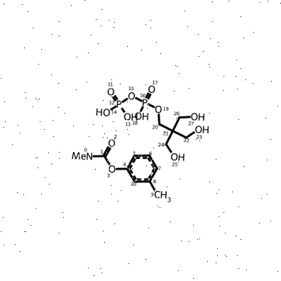 CNC(=O)Oc1cccc(C)c1.O=P(O)(O)OP(=O)(O)OCC(CO)(CO)CO